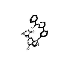 CC(Cc1c(C(=O)O)cnn1-c1cccc(C2CCCN(C(=O)c3ccccc3)C2)c1)/C(N)=C/N(C)N